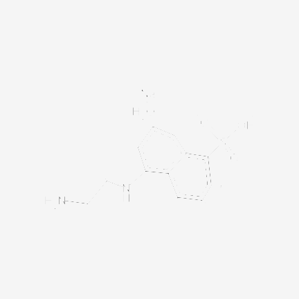 NCCNc1cccc2c(S(=O)(=O)O)cccc12.O.[Na]